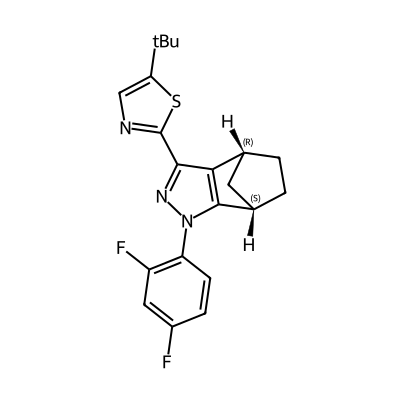 CC(C)(C)c1cnc(-c2nn(-c3ccc(F)cc3F)c3c2[C@@H]2CC[C@H]3C2)s1